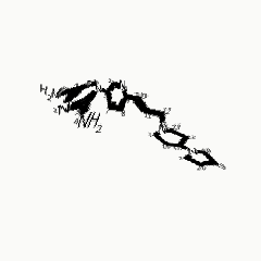 Nc1nc(N)n(-c2ccc(/C=C/CN3CCC(N4CCCC4)CC3)nc2)n1